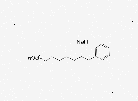 CCCCCCCCCCCCCCCc1ccccc1.[NaH]